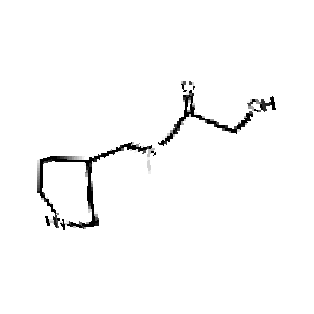 O=C(CO)NCC1CCNC1